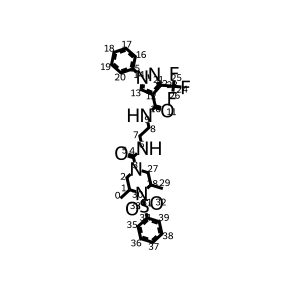 CC1CN(C(=O)NCCNC(=O)c2cn(-c3ccccc3)nc2C(F)(F)F)CC(C)N1S(=O)(=O)c1ccccc1